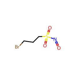 O=NS(=O)(=O)CCCBr